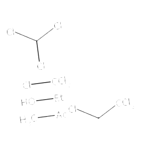 CC(C)=O.CCO.ClC(Cl)(Cl)Cl.ClC(Cl)Cl.ClCC(Cl)(Cl)Cl